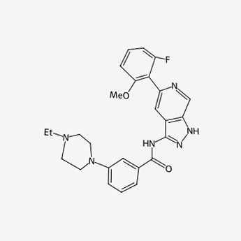 CCN1CCN(c2cccc(C(=O)Nc3n[nH]c4cnc(-c5c(F)cccc5OC)cc34)c2)CC1